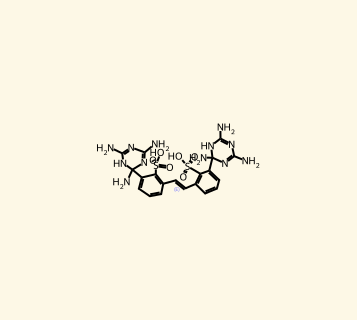 NC1=NC(N)(c2cccc(/C=C/c3cccc(C4(N)N=C(N)N=C(N)N4)c3S(=O)(=O)O)c2S(=O)(=O)O)NC(N)=N1